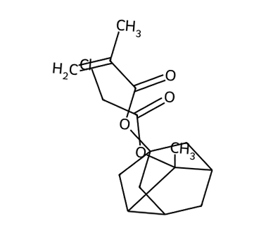 C=C(C)C(=O)OC12CC3CC(C1)C(C)(OC(=O)CCl)C3C2